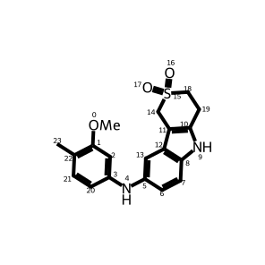 COc1cc(Nc2ccc3[nH]c4c(c3c2)CS(=O)(=O)CC4)ccc1C